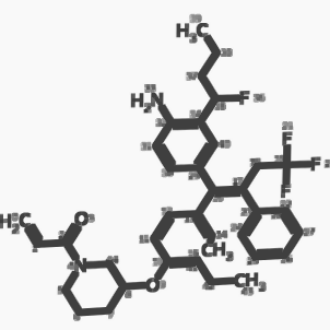 C=CC(=O)N1CCCC(OC(/C=C\C(=C/C)C(=C(\CC(F)(F)F)c2ccccc2)\c2ccc(N)c(C(F)CCC)c2)=C\CC)C1